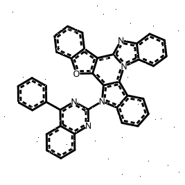 c1ccc(-c2nc(-n3c4ccccc4c4c3c3oc5ccccc5c3c3nc5ccccc5n34)nc3ccccc23)cc1